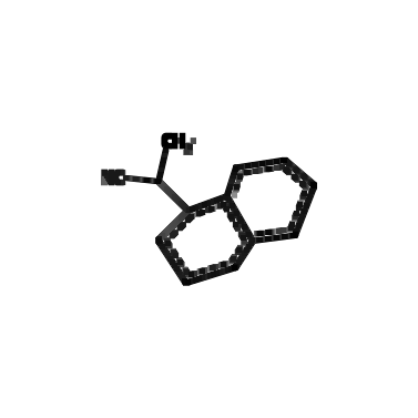 [CH2]C(C#N)c1cccc2ccccc12